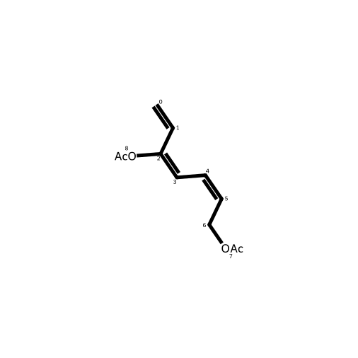 C=C/C(=C\C=C/COC(C)=O)OC(C)=O